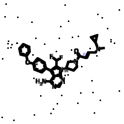 CN(C/C=C/C(=O)N1CC[C@@H](n2c(C(F)F)c(-c3ccc(Oc4ccccc4)cc3)c3c(N)ncnc32)C1)C1CC1